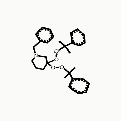 CC(C)(OOC1(OOC(C)(C)c2ccccc2)CCCN(Cc2ccccc2)C1)c1ccccc1